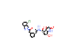 Cc1cccc(Cl)c1CNC(=O)Cc1cccc(C[C@@H](C)NC[C@@H](O)c2ccc(O)c3[nH]c(=O)ccc23)c1